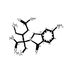 CCC(CC(=O)O)C(CC)(C(=O)O)N1Cc2cc(N)ccc2C1=O